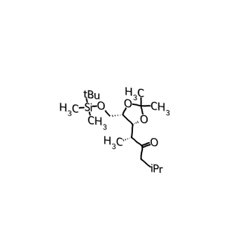 CC(C)CC(=O)[C@H](C)[C@H]1OC(C)(C)O[C@H]1CO[Si](C)(C)C(C)(C)C